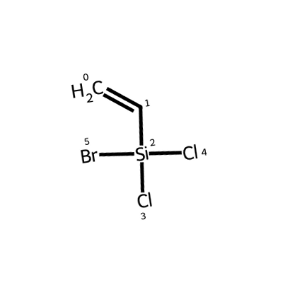 C=C[Si](Cl)(Cl)Br